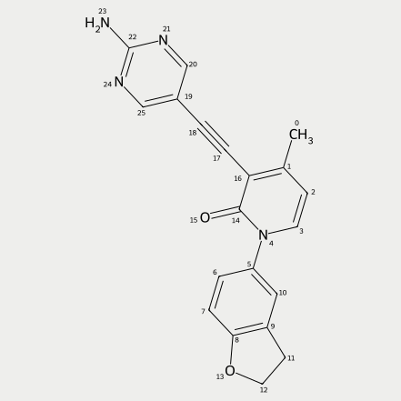 Cc1ccn(-c2ccc3c(c2)CCO3)c(=O)c1C#Cc1cnc(N)nc1